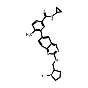 Cc1ccc(C(=O)NC2CC2)cc1-c1ccc2nc(NCC3CCCN3C)ncc2c1